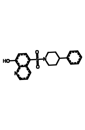 O=S(=O)(c1ccc(O)c2ncccc12)N1CCC(c2ccccc2)CC1